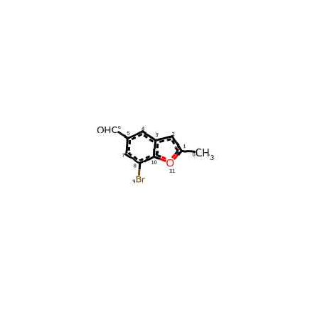 Cc1cc2cc(C=O)cc(Br)c2o1